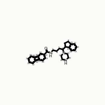 O=C(NCCCC(C1CCc2ccccc21)N1CCNCC1)c1ccc2c(c1)=c1ccccc1=2